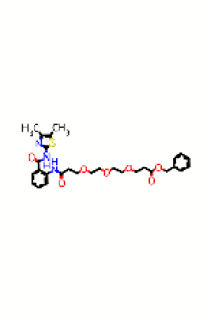 Cc1nc(NC(=O)c2ccccc2NC(=O)CCOCCOCCOCCC(=O)OCc2ccccc2)sc1C